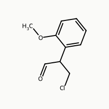 COc1ccccc1C(C=O)CCl